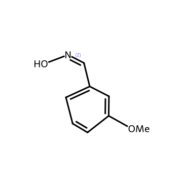 COc1cccc(/C=N\O)c1